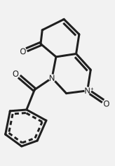 O=C1CC=CC2=C[N+](=O)CN(C(=O)c3ccccc3)C12